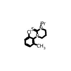 Cc1cccc(Cl)c1N1CCCN(C(C)C)C1=S